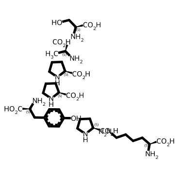 C[C@H](N)C(=O)O.NCCCC[C@H](N)C(=O)O.N[C@@H](CO)C(=O)O.N[C@@H](Cc1ccc(O)cc1)C(=O)O.O=C(O)[C@@H]1CCCN1.O=C(O)[C@@H]1CCCN1.O=C(O)[C@@H]1CCCN1